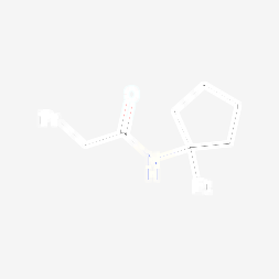 CCC1(NC(=O)CC(C)C)CCCC1